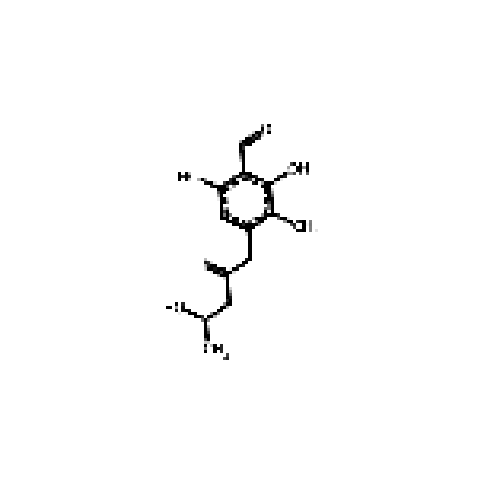 Cc1c(CC(=O)CC(C)O)cc(O)c(C=O)c1O